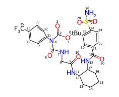 CC(C)(C)OC(=O)N(C(=O)NCC(=O)NC1CCCCC1NC(=O)c1ccc(S(N)(=O)=O)cc1)c1ccc(C(F)(F)F)cc1